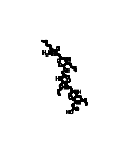 CSCCC(N)C(=O)NCC(=O)NC(CCSC)C(=O)NCC(=O)NC(CCSC)C(=O)NCC(=O)NC(CCSC)C(=O)NCC(=O)O